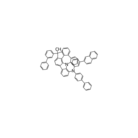 CC1(c2cccc(-c3ccccc3)c2)c2cccc3c2-c2c1ccc1c4cccc(N(c5ccc(-c6ccccc6)cc5)c5cccc(-c6ccc7ccccc7c6)c5)c4n(c21)-c1ccccc1-3